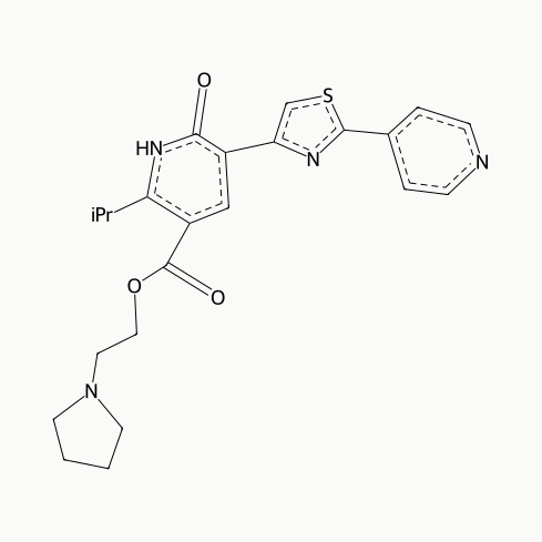 CC(C)c1[nH]c(=O)c(-c2csc(-c3ccncc3)n2)cc1C(=O)OCCN1CCCC1